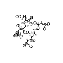 N.N.O=C(C=S(=O)=O)OCCOC(=O)C=S(=O)=O.O=C(O)C(CCC(C(=O)O)=S(=O)=O)=S(=O)=O